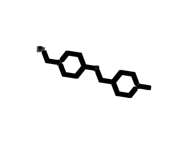 CC(C)CN1CCC(OCC2CCN(C)CC2)CC1